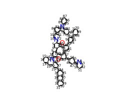 C1=CCN(c2ccc3c4ccc(N5c6ccccc6C=C6C=C(c7ccc8cc9ccccc9cc8c7)C=CC65)c5oc6cc(-c7ccc(-c8ccccn8)cc7)cc(c7ccc(-c8ccc(-c9ccccc9-c9ccc%10c%11ccccc%11n(-c%11ccccc%11)c%10c9)cc8)c8oc2c3c87)c6c54)C=C1